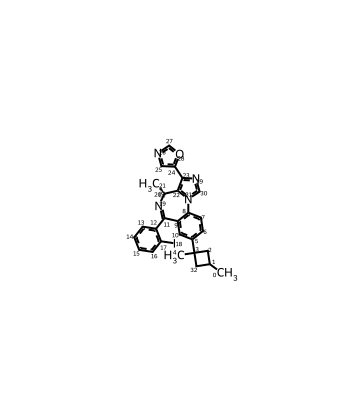 CC1CC(C)(c2ccc3c(c2)C(c2ccccc2I)=N[C@@H](C)c2c(-c4cnco4)ncn2-3)C1